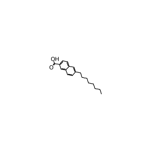 CCCCCCCCc1ccc2cc(C(=O)O)ccc2c1